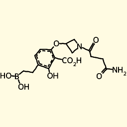 NC(=O)CCC(=O)N1CC(Oc2ccc(CCB(O)O)c(O)c2C(=O)O)C1